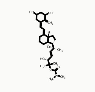 C=C1/C(=C\C=C2/CCC[C@]3(C)[C@@H]([C@H](C)/C=C/[C@@H](O)C(C)(C)OC(=O)N(C)C)CC[C@@H]23)CC(O)CC1O